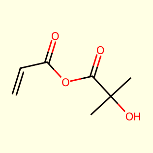 C=CC(=O)OC(=O)C(C)(C)O